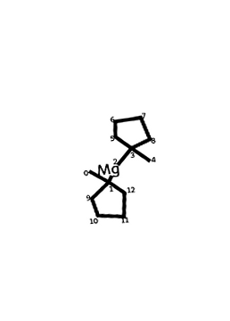 C[C]1([Mg][C]2(C)CCCC2)CCCC1